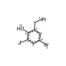 CC(C)Cc1cc(Br)cc(F)c1O